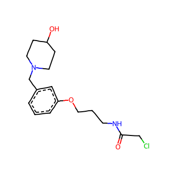 O=C(CCl)NCCCOc1cccc(CN2CCC(O)CC2)c1